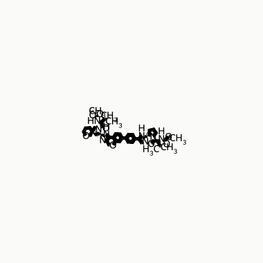 COC(=O)N[C@H](C(=O)N1CCC[C@H]1c1ncc(-c2ccc(-c3ccc4c(c3)OCc3nc([C@@H]5C[C@@]6(CCCOC6)CN5C(=O)[C@@H](NC(=O)OC)C(C)C)[nH]c3-4)cc2)[nH]1)C(C)C